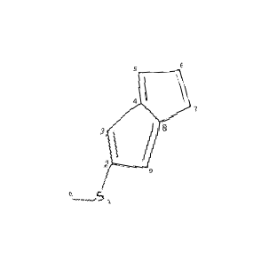 CSC1=[C]C2=CC=CC2=C1